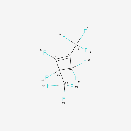 FC1=C(C(F)(F)F)C(F)(F)C1(F)C(F)(F)F